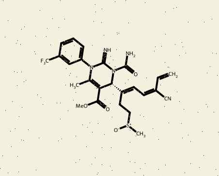 C=C/C(C#N)=C\C=C(/CC[S+](C)[O-])[C@@H]1C(C(=O)OC)=C(C)N(c2cccc(C(F)(F)F)c2)C(=N)N1C(N)=O